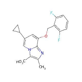 Cc1nc2c(OCc3c(F)cccc3F)cc(C3CC3)cn2c1C(=O)O